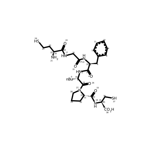 CCCC[C@H](NC(=O)[C@H](Cc1ccccc1)NC(=O)CNC(=O)[C@@H](N)CCS)C(=O)N1CCC[C@H]1C(=O)N[C@@H](CS)C(=O)O